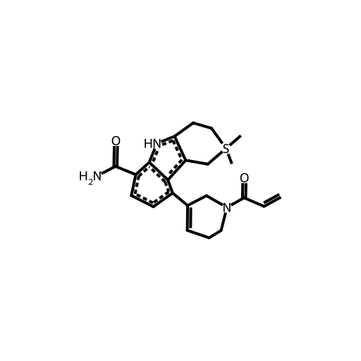 C=CC(=O)N1CCC=C(c2ccc(C(N)=O)c3[nH]c4c(c23)CS(C)(C)CC4)C1